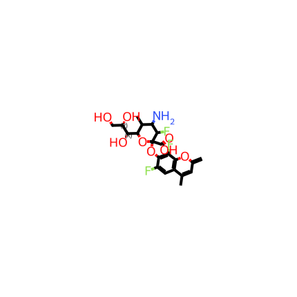 C=C1C=C(C)c2cc(F)c(OC3(C(=O)O)OC([C@H](O)[C@H](O)CO)C(C)C(N)C3F)c(F)c2O1